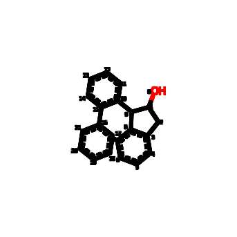 OC1Cc2ccccc2C1c1ccccc1-c1ccccc1